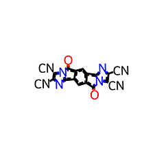 [C-]#[N+]c1nc2c3cc4c(=O)n5c(C#N)c(C#N)nc5c4cc3c(=O)n2c1[N+]#[C-]